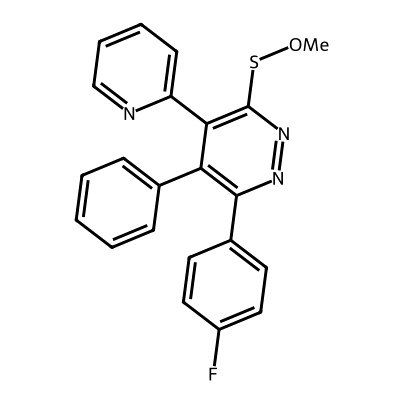 COSc1nnc(-c2ccc(F)cc2)c(-c2ccccc2)c1-c1ccccn1